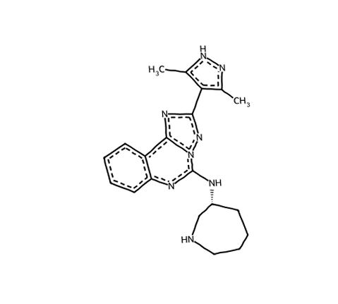 Cc1n[nH]c(C)c1-c1nc2c3ccccc3nc(N[C@@H]3CCCCNC3)n2n1